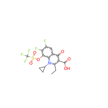 CCc1c(C(=O)O)c(=O)c2cc(F)c(F)c(OS(=O)(=O)C(F)(F)F)c2n1C1CC1